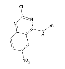 CC(C)(C)Nc1nc(Cl)nc2ccc([N+](=O)[O-])cc12